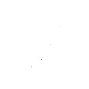 CCCCOc1c(Br)c(CNCC(C)(C)C)c(F)c(C)c1C(=O)Oc1ccccc1